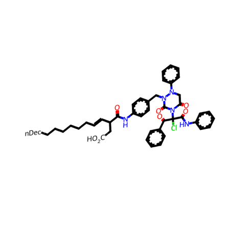 CCCCCCCCCCCCCCCCC=CC(CC(=O)O)C(=O)Nc1ccc(CN2C(=O)N(C(Cl)(C(=O)Nc3ccccc3)C(=O)c3ccccc3)C(=O)CN2c2ccccc2)cc1